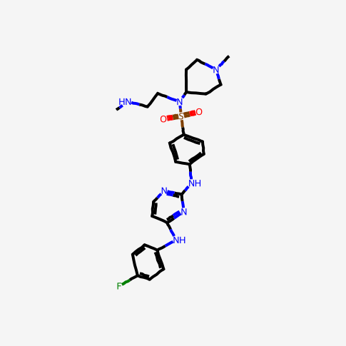 CNCCN(C1CCN(C)CC1)S(=O)(=O)c1ccc(Nc2nccc(Nc3ccc(F)cc3)n2)cc1